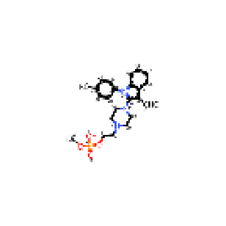 CCC(C)OP(=O)(O)OCCN1CCN(c2c(C=O)c3ccccc3n2-c2ccc(C(C)(C)C)cc2)CC1